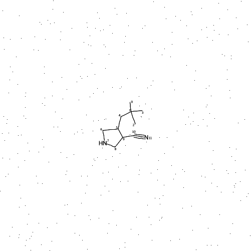 CC(C)(C)CC1CNCC1C#N